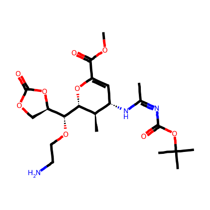 COC(=O)C1=C[C@H](N/C(C)=N\C(=O)OC(C)(C)C)[C@@H](C)[C@H]([C@H](OCCN)[C@H]2COC(=O)O2)O1